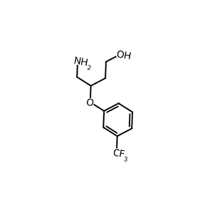 NCC(CCO)Oc1cccc(C(F)(F)F)c1